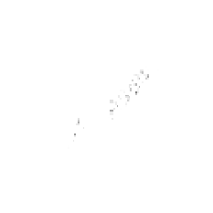 CC=C(C)C(=O)OCCOCC(F)(F)C(F)(F)C(F)(F)C(F)(F)C(F)(F)C(F)(F)C(F)(F)C(F)(F)C(F)(F)F